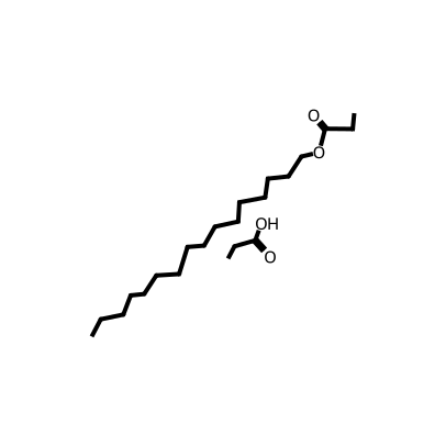 CCC(=O)O.CCCCCCCCCCCCCCCCOC(=O)CC